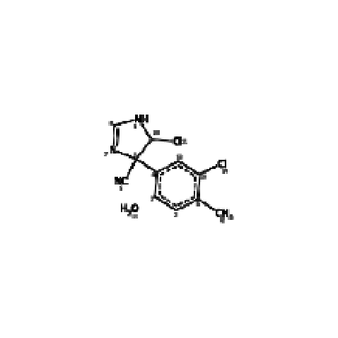 Cc1ccc(C2(C#N)N=CNC2Cl)cc1Cl.O